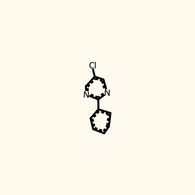 Clc1cnc(-c2ccccc2)nc1